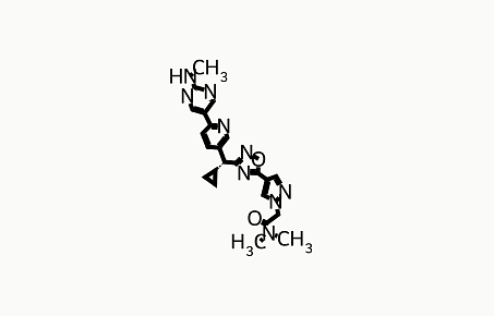 CNc1ncc(-c2ccc([C@H](c3noc(-c4cnn(CC(=O)N(C)C)c4)n3)C3CC3)cn2)cn1